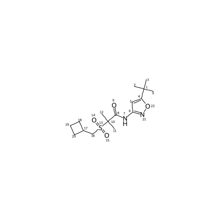 CC(C)(C)c1cc(NC(=O)C(C)(C)S(=O)(=O)CC2CCC2)no1